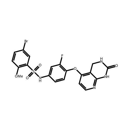 COc1ccc(Br)cc1S(=O)(=O)Nc1ccc(Oc2ccnc3c2CNC(=O)N3)c(F)c1